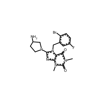 Cn1c(=O)c2c(nc(N3CCC(N)C3)n2Cc2cc(F)ccc2Br)n(C)c1=O